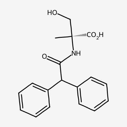 C[C@@](CO)(NC(=O)C(c1ccccc1)c1ccccc1)C(=O)O